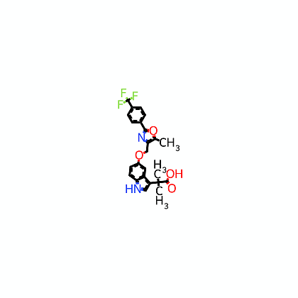 Cc1oc(-c2ccc(C(F)(F)F)cc2)nc1COc1ccc2[nH]cc(C(C)(C)C(=O)O)c2c1